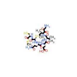 CC[C@H](C)C(NC(=O)[C@@H](NC(=O)[C@H](CCC(=O)O)NC(=O)[C@H](CCC(N)=O)NN[C@@H](CS)C(=O)N[C@@H](CS)C(=O)SSC)C(C)C)C(=O)C(=O)CN